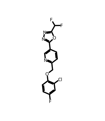 Fc1ccc(OCc2ccc(-c3nnc(C(F)F)o3)cn2)c(Cl)c1